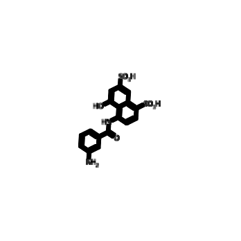 Nc1cccc(C(=O)Nc2ccc(S(=O)(=O)O)c3cc(S(=O)(=O)O)cc(O)c23)c1